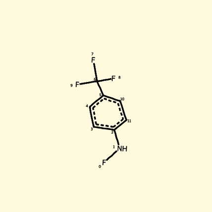 FNc1ccc(C(F)(F)F)cc1